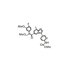 COCN(C(=O)c1cc(C)c2ncc(-c3ccc(NC(=O)OC)nc3)n2c1)c1ccc(F)c(OC)c1